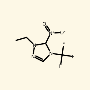 CCN1N=CN(C(F)(F)F)C1[N+](=O)[O-]